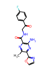 Cc1nc(C(=O)NCC(=O)c2ccc(F)cc2)c(N)nc1-c1ncco1